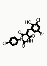 O=C1NC(=O)N(c2ccc(Cl)cc2)C(=O)C1=Cc1cc(Br)cc(Cl)c1O